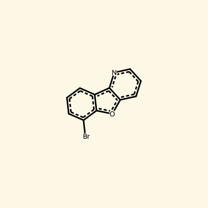 Brc1cccc2c1oc1cccnc12